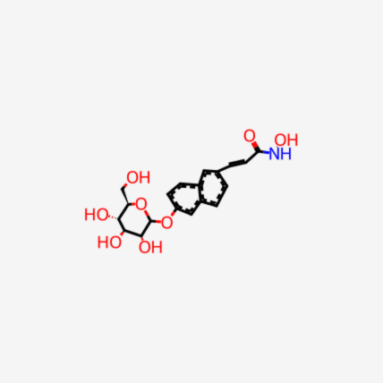 O=C(/C=C/c1ccc2cc(OC3O[C@H](CO)[C@@H](O)[C@H](O)[C@H]3O)ccc2c1)NO